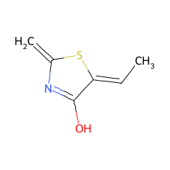 C=c1nc(O)c(=CC)s1